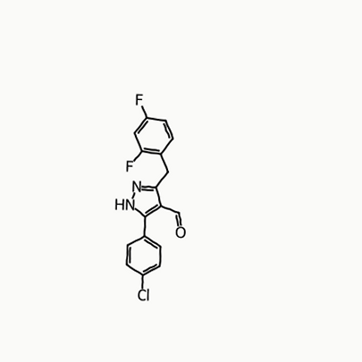 O=Cc1c(Cc2ccc(F)cc2F)n[nH]c1-c1ccc(Cl)cc1